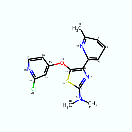 Cc1cccc(-c2nc(N(C)C)sc2Oc2ccnc(Cl)c2)n1